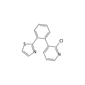 Clc1ncccc1-c1ccccc1-c1nccs1